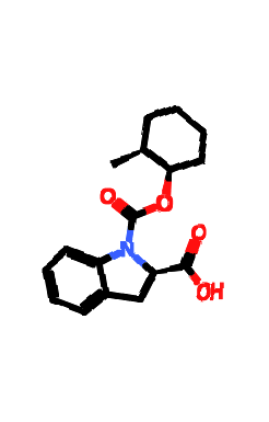 C[C@H]1CCCC[C@H]1OC(=O)N1c2ccccc2C[C@@H]1C(=O)O